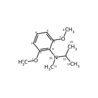 COc1cccc(OC)c1N(C)C(C)C